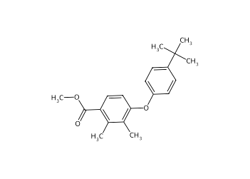 COC(=O)c1ccc(Oc2ccc(C(C)(C)C)cc2)c(C)c1C